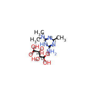 CC1N=C(N)NC(N(C)C)=N1.O=C(O)C(O)C(O)C(=O)O